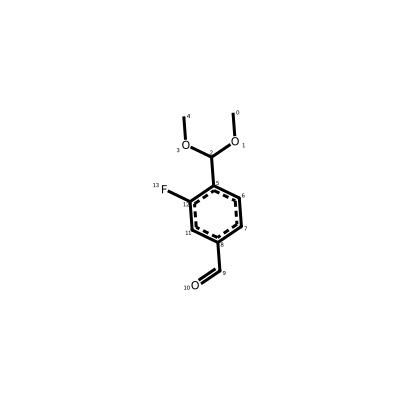 COC(OC)c1ccc(C=O)cc1F